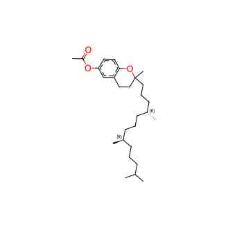 CC(=O)Oc1ccc2c(c1)CCC(C)(CCC[C@H](C)CCC[C@H](C)CCCC(C)C)O2